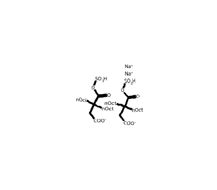 CCCCCCCCC(CCCCCCCC)(CC(=O)[O-])C(=O)OS(=O)(=O)O.CCCCCCCCC(CCCCCCCC)(CC(=O)[O-])C(=O)OS(=O)(=O)O.[Na+].[Na+]